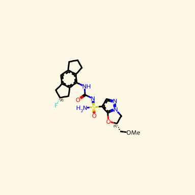 COC[C@H]1Cn2ncc(S(N)(=O)=NC(=O)Nc3c4c(cc5c3C[C@H](F)C5)CCC4)c2O1